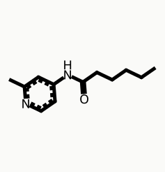 CCCCCC(=O)Nc1ccnc(C)c1